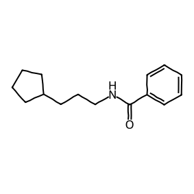 O=C(NCCCC1CCCC1)c1ccccc1